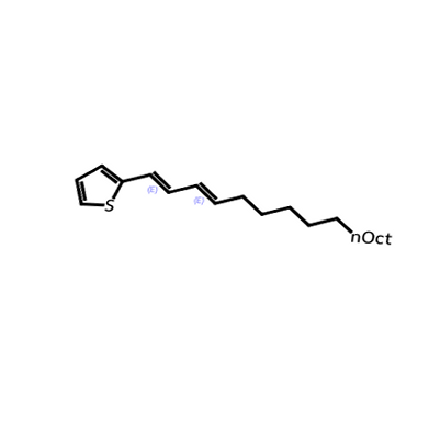 CCCCCCCCCCCCC/C=C/C=C/c1cccs1